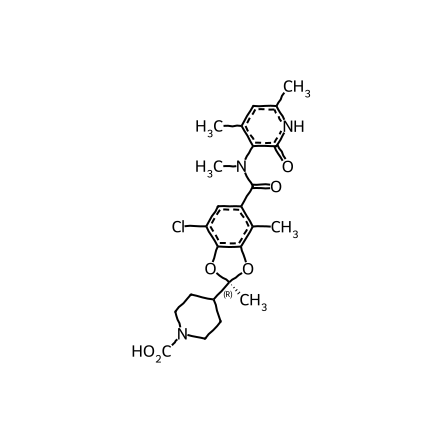 Cc1cc(C)c(N(C)C(=O)c2cc(Cl)c3c(c2C)O[C@@](C)(C2CCN(C(=O)O)CC2)O3)c(=O)[nH]1